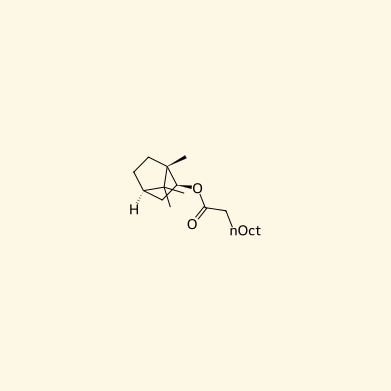 CCCCCCCCCC(=O)O[C@H]1C[C@H]2CC[C@@]1(C)C2(C)C